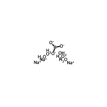 O.O.O.O.O.[Na+].[Na+].[Na+].[O-]B([O-])[O-]